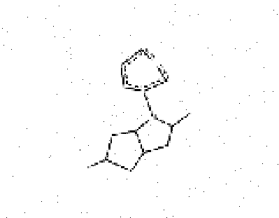 CC1CC2CC(C)N(c3ccccc3)C2C1